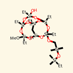 CC[Si](C)(C)O[Si](C)(C)CO[Si]1(CC)O[Si]2(CC)C[Si@]3(CC)O[Si](CC)(O[Si](O)(CC)O[Si](CC)(O3)O[Si@@](CC)(OC)O2)O1